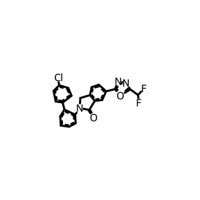 O=C1c2cc(-c3nnc(C(F)F)o3)ccc2CN1c1ccccc1-c1ccc(Cl)cc1